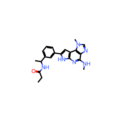 CCC(=O)NC(C)c1cccc(-c2cc3c(nc(NC)c4ncn(C)c43)[nH]2)c1